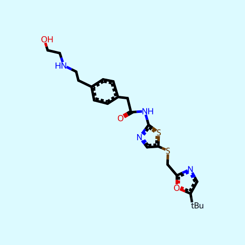 CC(C)(C)c1cnc(CSc2cnc(NC(=O)Cc3ccc(CCNCCO)cc3)s2)o1